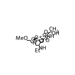 CCN[C@H]1CN(CCCOC)S(=O)(=O)c2sc(S(=O)(=O)NC(=O)[C@H](C)O)cc21